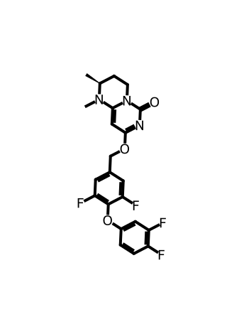 C[C@H]1CCn2c(cc(OCc3cc(F)c(Oc4ccc(F)c(F)c4)c(F)c3)nc2=O)N1C